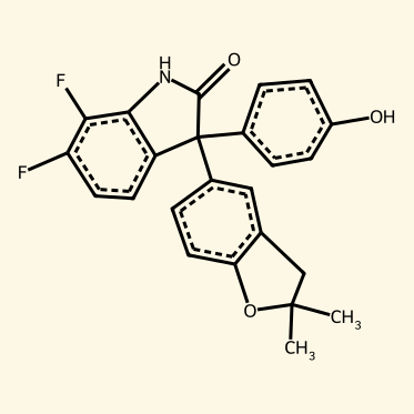 CC1(C)Cc2cc(C3(c4ccc(O)cc4)C(=O)Nc4c3ccc(F)c4F)ccc2O1